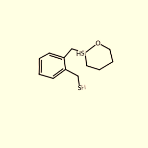 SCc1ccccc1C[SiH]1CCCCO1